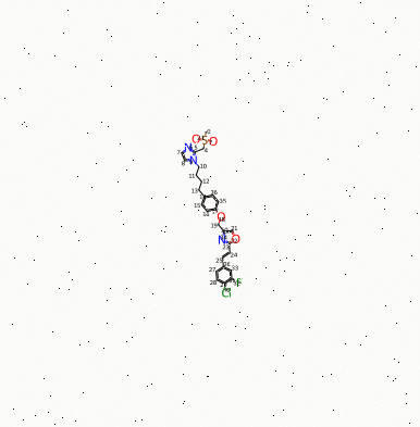 CS(=O)(=O)Cc1nccn1CCCCc1ccc(OCc2coc(C=Cc3ccc(Cl)c(F)c3)n2)cc1